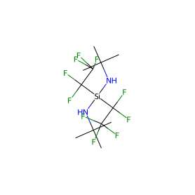 CC(C)(C)N[Si](NC(C)(C)C)(C(F)(F)C(F)(F)F)C(F)(F)C(F)(F)F